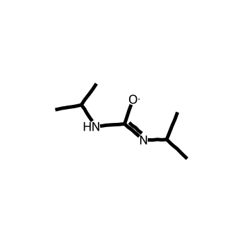 CC(C)/N=C(\[O])NC(C)C